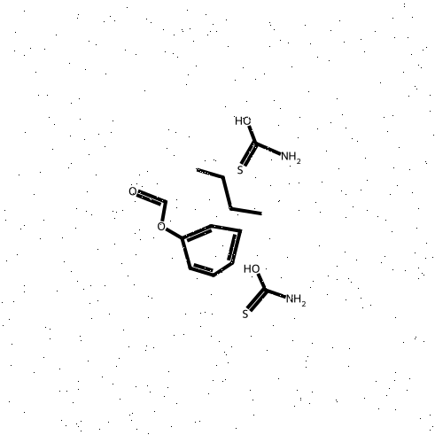 CCCC.NC(O)=S.NC(O)=S.O=COc1ccccc1